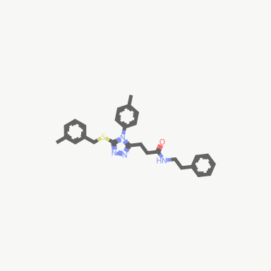 Cc1ccc(-n2c(CCC(=O)NCCc3ccccc3)nnc2SCc2cccc(C)c2)cc1